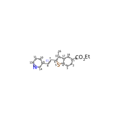 CCOC(=O)c1ccc2sc(/C=C/c3cccnc3)c(C)c2c1